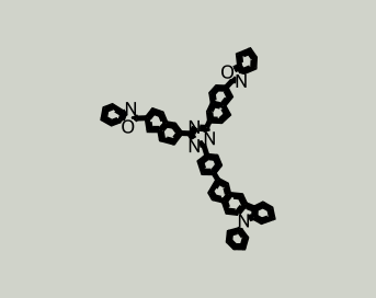 c1ccc(-n2c3ccccc3c3cc4cc(-c5ccc(-c6nc(-c7ccc8cc(-c9nc%10ccccc%10o9)ccc8c7)nc(-c7ccc8cc(-c9nc%10ccccc%10o9)ccc8c7)n6)cc5)ccc4cc32)cc1